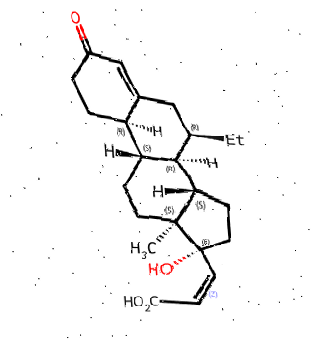 CC[C@@H]1CC2=CC(=O)CC[C@@H]2[C@H]2CC[C@@]3(C)[C@@H](CC[C@@]3(O)/C=C\C(=O)O)[C@H]12